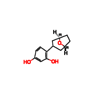 Oc1ccc(C2C[C@H]3CC[C@H](C2)O3)c(O)c1